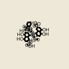 O=S(=O)(O)c1cc(O)c2c(O)cc(S(=O)(=O)O)c(N=Nc3c(S(=O)(=O)Oc4ccccc4[As](=O)(O)O)cc(O)c4c(O)cc(S(=O)(=O)O)cc34)c2c1